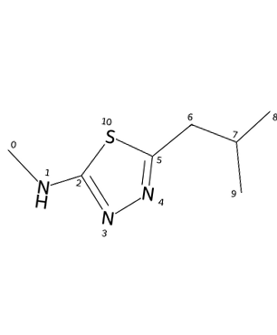 CNc1nnc(CC(C)C)s1